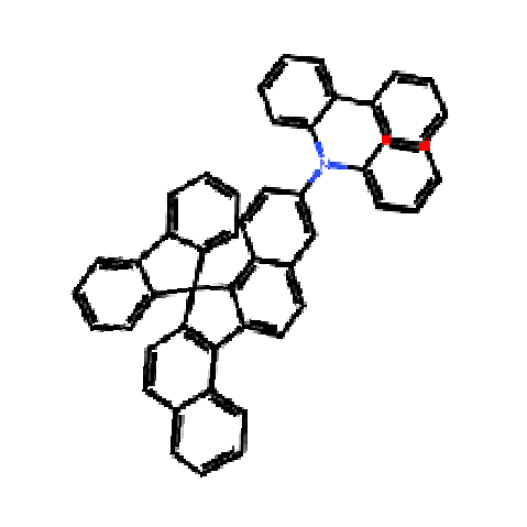 c1ccc(-c2ccccc2N(c2ccccc2)c2ccc3c4c(ccc3c2)-c2c(ccc3ccccc23)C42c3ccccc3-c3ccccc32)cc1